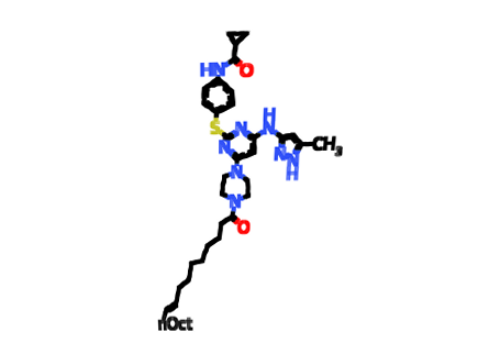 CCCCCCCC/C=C/CCCCCCCC(=O)N1CCN(c2cc(Nc3cc(C)[nH]n3)nc(Sc3ccc(NC(=O)C4CC4)cc3)n2)CC1